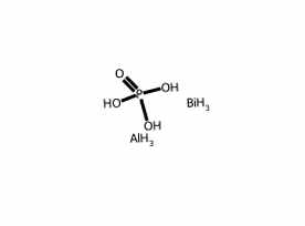 O=P(O)(O)O.[AlH3].[BiH3]